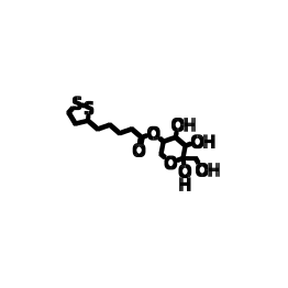 O=C(CCCCC1CCSS1)OC1COC(O)(CO)C(O)C1O